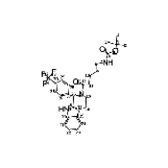 CC(C)(C)OC(=O)NCCCCC(=O)N1CCc2c([nH]c3ccccc23)C1c1ccc(C(F)(F)F)cc1